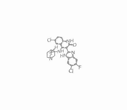 O=c1[nH]c2ccc(Cl)cc2c(N[C@@H]2CN3CCC2CC3)c1-c1nc2cc(F)c(Cl)cc2[nH]1